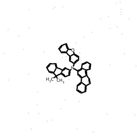 CC1(C)c2ccccc2-c2cc(N(c3ccc4oc5ccccc5c4c3)c3cc4c5ccccc5ccc4c4ccccc34)ccc21